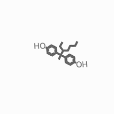 CCCCC(CC)C(C)(c1ccc(O)cc1)c1ccc(O)cc1